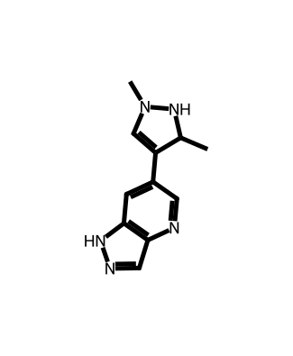 CC1NN(C)C=C1c1cnc2cn[nH]c2c1